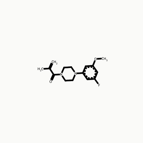 C=C(C)C(=O)N1CCN(c2cc(F)cc(OC)c2)CC1